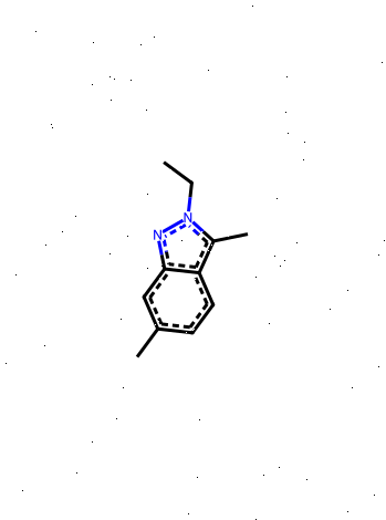 CCn1nc2cc(C)ccc2c1C